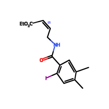 CCOC(=O)/C=C\CNC(=O)c1cc(C)c(C)cc1I